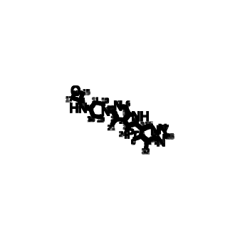 Cc1c(-c2[nH]c3cnc(N4CCC(NC5COC5)CC4)c(C)c3c2C(C)C)cn2ncnc2c1C